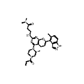 C=CC(=O)N1CCN(c2nc(NCCC(=O)N(C)C)nc3c2CC=C(c2c(C)ccc4[nH]ncc24)O3)[C@@H](C)C1